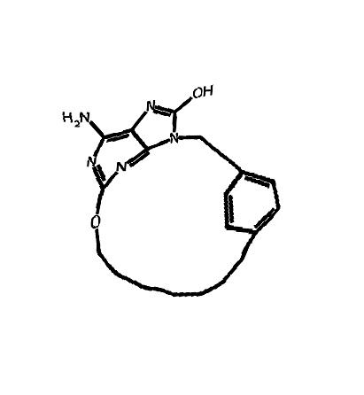 Nc1nc2nc3c1nc(O)n3Cc1ccc(cc1)CCCCCCCO2